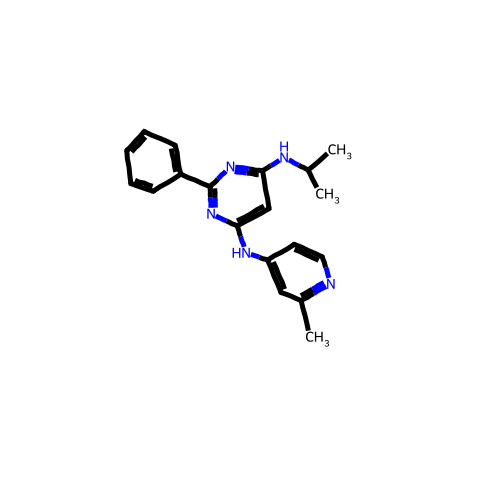 Cc1cc(Nc2cc(NC(C)C)nc(-c3ccccc3)n2)ccn1